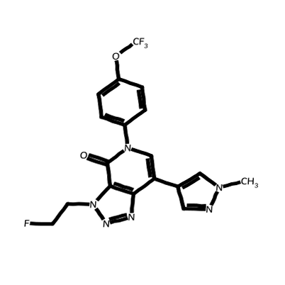 Cn1cc(-c2cn(-c3ccc(OC(F)(F)F)cc3)c(=O)c3c2nnn3CCF)cn1